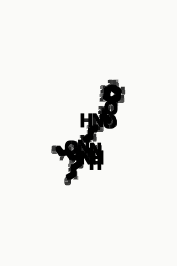 CCCCC1(CCCC)NC(=N)N(CCCCNC(=O)COc2ccccc2)C1=O